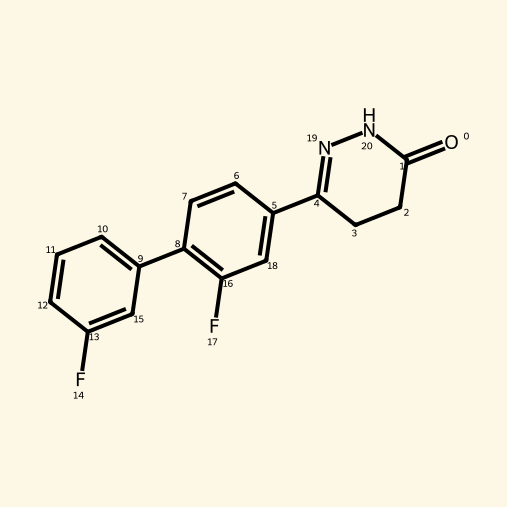 O=C1CCC(c2ccc(-c3cccc(F)c3)c(F)c2)=NN1